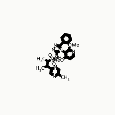 COc1ccnc(OC)c1-n1c(NS(=O)(=O)C(C)C(C)c2cnc(C)cn2)nnc1-c1ccccc1